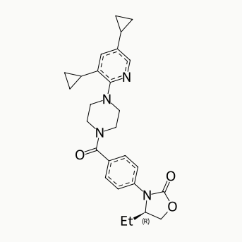 CC[C@@H]1COC(=O)N1c1ccc(C(=O)N2CCN(c3ncc(C4CC4)cc3C3CC3)CC2)cc1